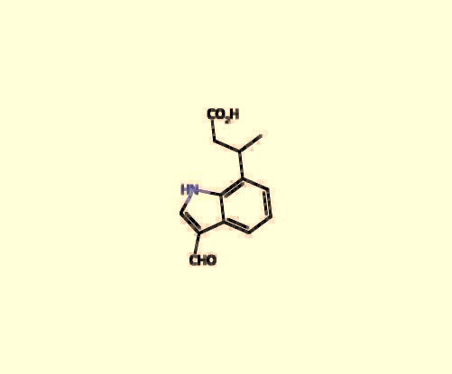 CC(CC(=O)O)c1cccc2c(C=O)c[nH]c12